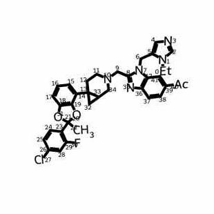 CCn1cncc1Cn1c(CN2CCC3(c4cccc5c4OC(C)(c4ccc(Cl)cc4F)O5)CC3C2)nc2ccc(C(C)=O)cc21